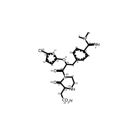 CN(C)C(=N)c1ccc(CC(Oc2ccc(Cl)s2)C(=O)N2CCNC(CC(=O)O)C2=O)cc1